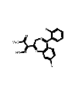 COC(=O)C(=NO)C1=Nc2cc(Cl)ccc2C(c2ccccc2F)=NC1